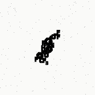 O=C(Nc1ccc(F)c(C(F)(F)F)c1)N1CCc2nn3c(c2C1)C(F)(F)CCC(COCC(F)F)C3